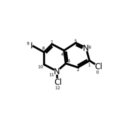 Clc1cc2c(cn1)C=C(I)CN2Cl